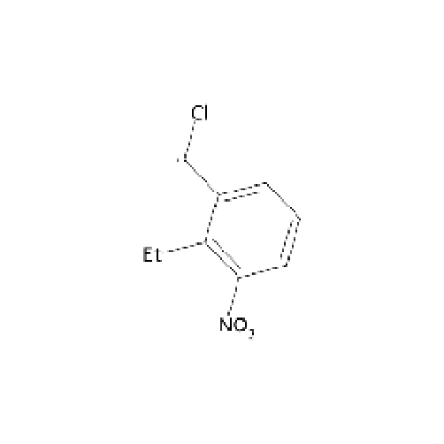 CCc1c([CH]Cl)cccc1[N+](=O)[O-]